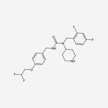 O=C(NCc1ccc(OCC(F)F)cc1)N(Cc1ccc(F)cc1F)C1CCNCC1